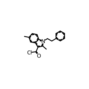 Cc1ccc2c(c1)c(C(=O)Cl)c(C)n2CCc1ccccc1